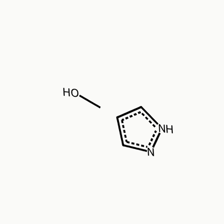 CO.c1cn[nH]c1